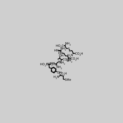 CC(C)C(N)C(=O)O.CC(O)C(N)C(=O)O.CSCCC(N)C(=O)O.N=C(N)NCCCC(N)C(=O)O.NC(CSSCC(N)C(=O)O)C(=O)O.NC(Cc1ccc(O)cc1)C(=O)O